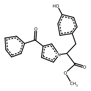 COC(=O)C(Cc1ccc(O)cc1)n1ccc(C(=O)c2ccccc2)c1